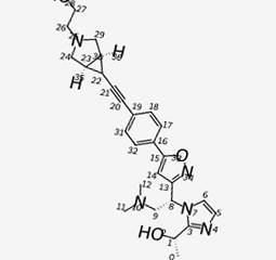 C[C@H](O)c1nccn1[C@H](CN(C)C)c1cc(-c2ccc(C#CC3[C@H]4CN(CCO)C[C@@H]34)cc2)on1